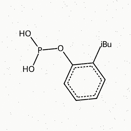 CCC(C)c1ccccc1OP(O)O